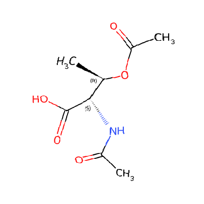 CC(=O)N[C@H](C(=O)O)[C@@H](C)OC(C)=O